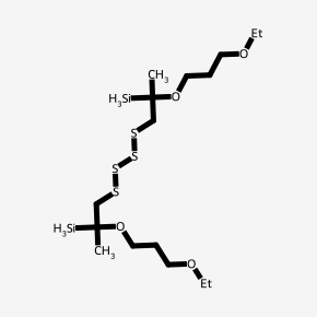 CCOCCCOC(C)([SiH3])CSSSSCC(C)([SiH3])OCCCOCC